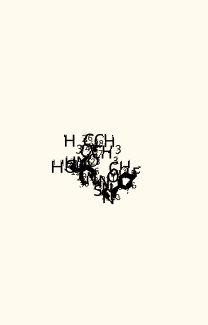 COc1cc(F)ccc1-c1cnc2sc(N3CCC(CO)(NC(=O)OC(C)(C)C)CC3)nn12